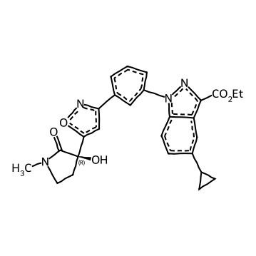 CCOC(=O)c1nn(-c2cccc(-c3cc([C@]4(O)CCN(C)C4=O)on3)c2)c2ccc(C3CC3)cc12